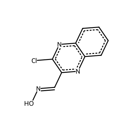 ON=Cc1nc2ccccc2nc1Cl